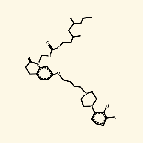 CCCC(C)CC(C)CCOC(=O)OCN1C(=O)CCc2ccc(OCCCCN3CCN(c4cccc(Cl)c4Cl)CC3)cc21